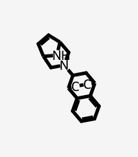 C1=CC2CN(C3CC4CCC3c3ccccc34)CC1N2